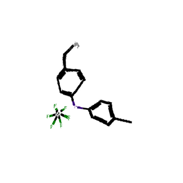 Cc1ccc([I+]c2ccc(CC(C)C)cc2)cc1.[F][Sb-]([F])([F])([F])([F])[F]